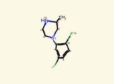 CC1CN(c2cc(F)ccc2F)CCN1